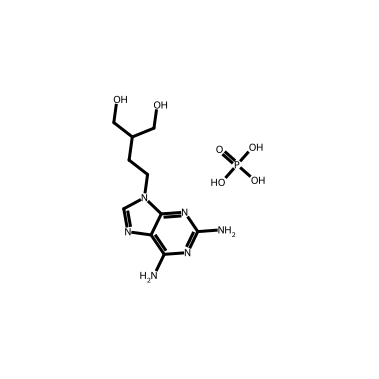 Nc1nc(N)c2ncn(CCC(CO)CO)c2n1.O=P(O)(O)O